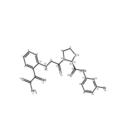 N=C(C(N)=O)c1ccccc1NCC(=O)N1CCS[C@H]1C(=O)Nc1cccc(Br)n1